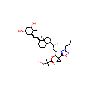 C=C1/C(=C\C=C2/CCC[C@]3(C)[C@@H]([C@H](C)CC[C@H](OC(=O)C(C)(C)CO)C4(c5nc(CCC)no5)CC4)CC[C@@H]23)C[C@@H](O)C[C@@H]1O